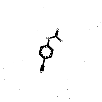 N#Cc1ccc(NC(=O)Cl)cc1